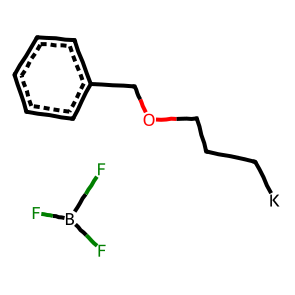 FB(F)F.[K][CH2]CCOCc1ccccc1